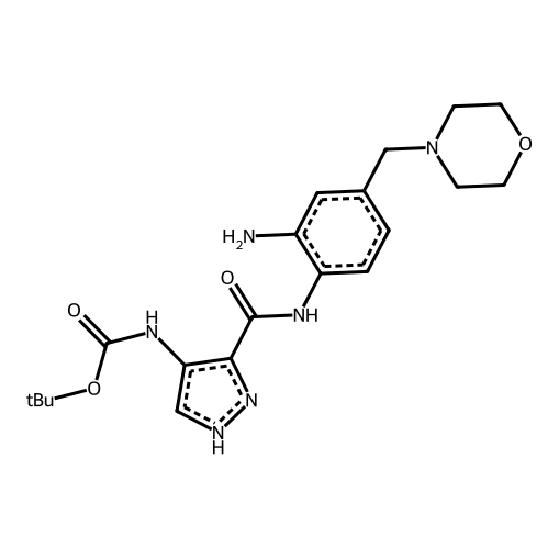 CC(C)(C)OC(=O)Nc1c[nH]nc1C(=O)Nc1ccc(CN2CCOCC2)cc1N